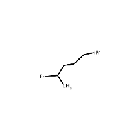 [CH2]CC(C)CCCC(C)C